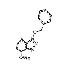 COc1cccc2c1nnn2OCc1ccccc1